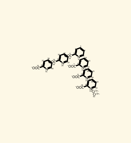 O=C([O-])c1ccccn1.O=C([O-])c1ccccn1.O=C([O-])c1ccccn1.O=C([O-])c1ccccn1.O=C([O-])c1ccccn1.O=C([O-])c1ccccn1.[Cr+3].[Cr+3]